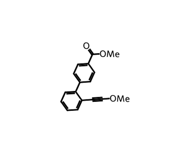 COC#Cc1ccccc1-c1ccc(C(=O)OC)cc1